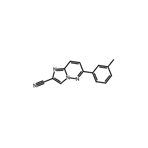 Cc1cccc(-c2ccc3nc(C#N)cn3n2)c1